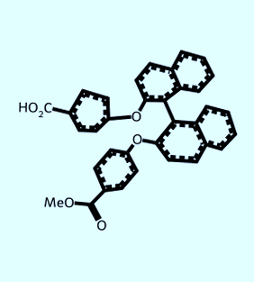 COC(=O)c1ccc(Oc2ccc3ccccc3c2-c2c(Oc3ccc(C(=O)O)cc3)ccc3ccccc23)cc1